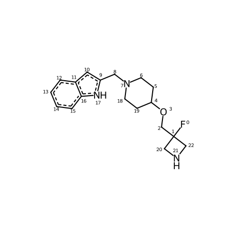 FC1(COC2CCN(Cc3cc4ccccc4[nH]3)CC2)CNC1